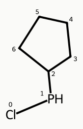 ClPC1CCCC1